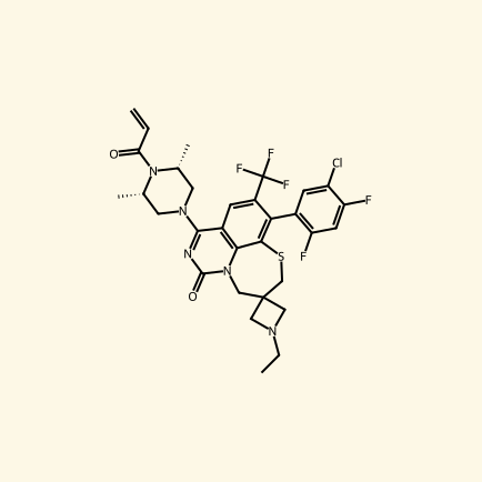 C=CC(=O)N1[C@H](C)CN(c2nc(=O)n3c4c(c(-c5cc(Cl)c(F)cc5F)c(C(F)(F)F)cc24)SCC2(CN(CC)C2)C3)C[C@@H]1C